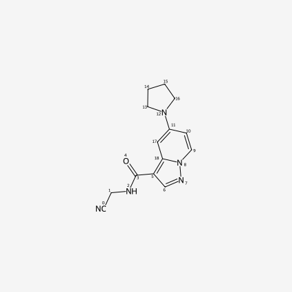 N#CCNC(=O)c1cnn2ccc(N3CCCC3)cc12